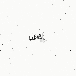 [Al].[Lu].[Sc].[Tb]